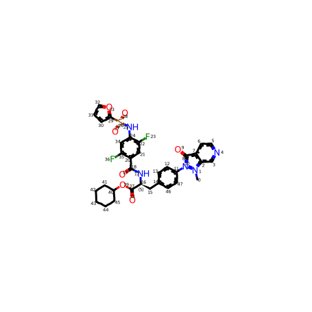 Cn1c2cnccc2c(=O)n1-c1ccc(C[C@H](NC(=O)c2cc(F)c(NS(=O)(=O)c3ccco3)cc2F)C(=O)OC2CCCCC2)cc1